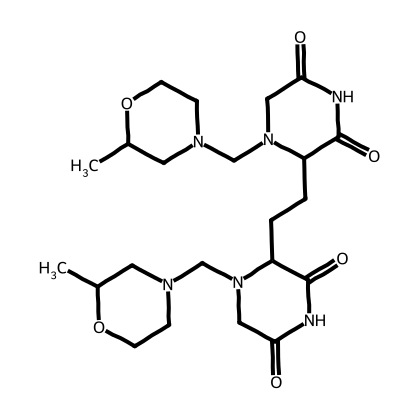 CC1CN(CN2CC(=O)NC(=O)C2CCC2C(=O)NC(=O)CN2CN2CCOC(C)C2)CCO1